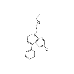 CCOCCN1CCN=C(c2ccccc2)c2cc(Cl)ccc21